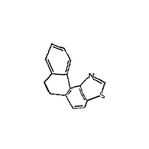 c1ccc2c(c1)CCc1ccc3scnc3c1-2